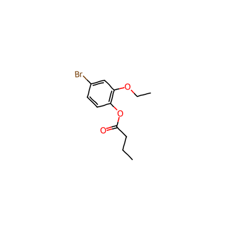 CCCC(=O)Oc1ccc(Br)cc1OCC